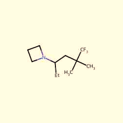 CCC(CC(C)(C)C(F)(F)F)N1CCC1